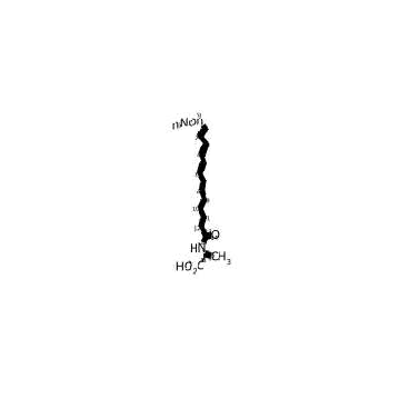 CCCCCCCCC/C=C/C=C/C=C/C=C/C=C/C=C/C(=O)N[C@H](C)C(=O)O